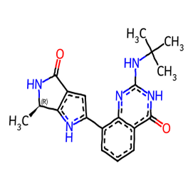 C[C@H]1NC(=O)c2cc(-c3cccc4c(=O)[nH]c(NC(C)(C)C)nc34)[nH]c21